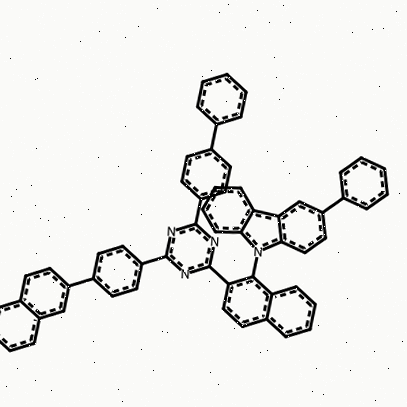 c1ccc(-c2ccc(-c3nc(-c4ccc(-c5ccc6ccccc6c5)cc4)nc(-c4ccc5ccccc5c4-n4c5ccccc5c5cc(-c6ccccc6)ccc54)n3)cc2)cc1